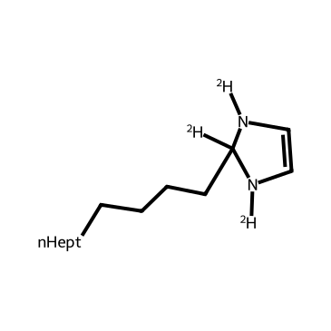 [2H]N1C=CN([2H])C1([2H])CCCCCCCCCCC